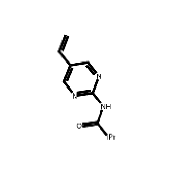 C=Cc1cnc(NC(=O)C(C)C)nc1